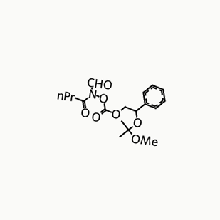 CCCC(=O)N(C=O)OC(=O)OCC(OC(C)(C)OC)c1ccccc1